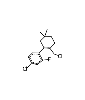 CC1(C)CCC(CCl)=C(c2ccc(Cl)cc2F)C1